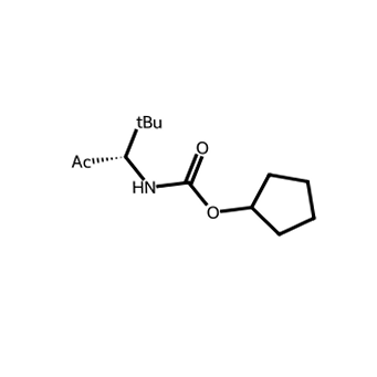 CC(=O)[C@@H](NC(=O)OC1CCCC1)C(C)(C)C